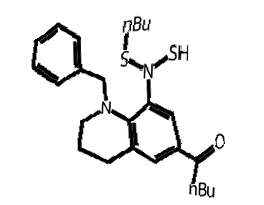 CCCCSN(S)c1cc(C(=O)CCCC)cc2c1N(Cc1ccccc1)CCC2